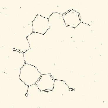 Cc1ccc(CC2CCN(CCC(=O)N3CC[S+]([O-])c4ccc(CO)cc4C3)CC2)cc1